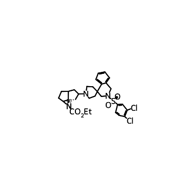 CCOC(=O)N1C2CCC3CC(N4CCC5(CC4)CN(S(=O)(=O)c4ccc(Cl)c(Cl)c4)Cc4ccccc45)C[C@@]321